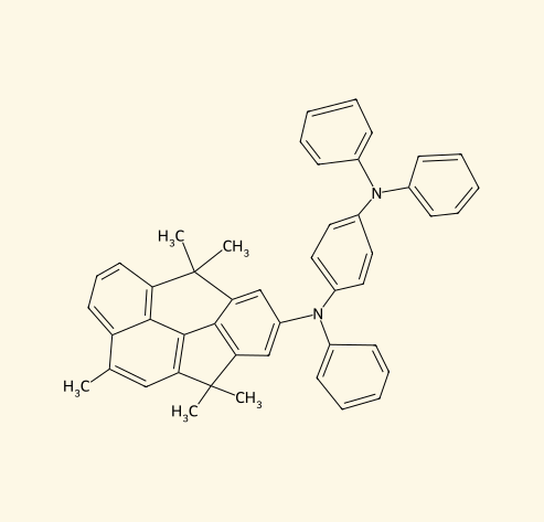 Cc1cc2c3c4c(cccc14)C(C)(C)c1cc(N(c4ccccc4)c4ccc(N(c5ccccc5)c5ccccc5)cc4)cc(c1-3)C2(C)C